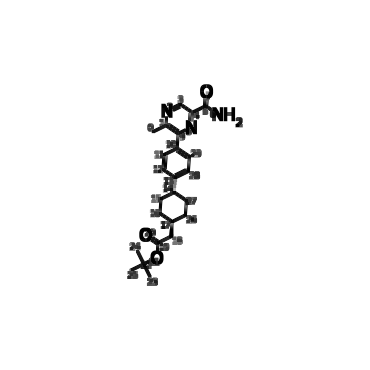 Cc1ncc(C(N)=O)nc1-c1ccc([C@H]2CC[C@H](CC(=O)OC(C)(C)C)CC2)cc1